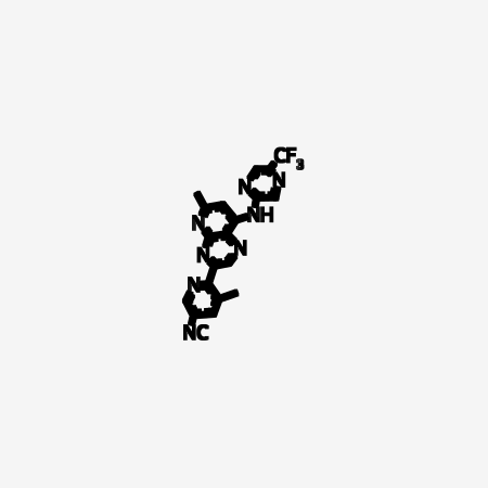 [C-]#[N+]c1cnc(-c2cnc3c(Nc4cnc(C(F)(F)F)cn4)cc(C)nc3n2)c(C)c1